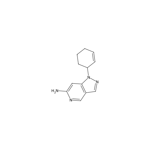 Nc1cc2c(cn1)cnn2C1C=CCCC1